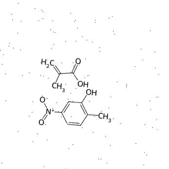 C=C(C)C(=O)O.Cc1ccc([N+](=O)[O-])cc1O